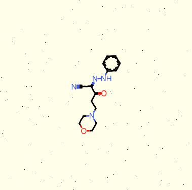 N#CC(=NNc1ccccc1)C(=O)CCN1CCOCC1